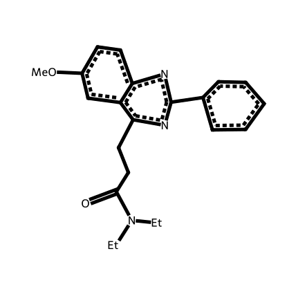 CCN(CC)C(=O)CCc1nc(-c2ccccc2)nc2ccc(OC)cc12